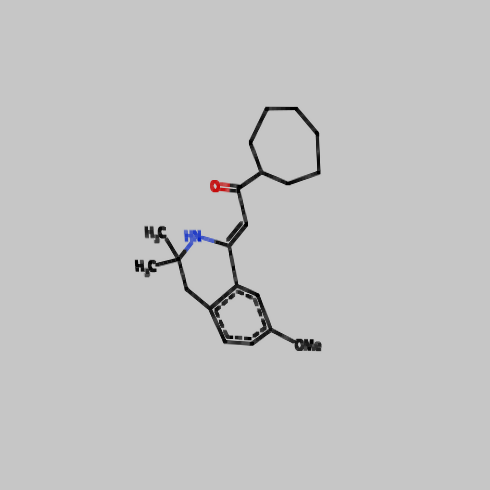 COc1ccc2c(c1)C(=CC(=O)C1CCCCCC1)NC(C)(C)C2